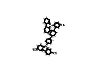 N#Cc1ccc(-n2c3ccccc3c3ccccc32)c(-c2ccc(-c3ccc(-n4c5ccc(C#N)cc5c5ccc(C#N)cc54)cc3)cc2)c1